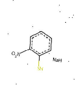 O=[N+]([O-])c1ccccc1S.[NaH]